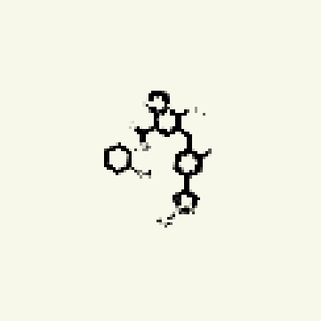 Cc1c(Cc2ccc(-c3cnn(C)c3)cc2F)cc(C(=O)N[C@H]2CCCC[C@@H]2O)c2nccn12